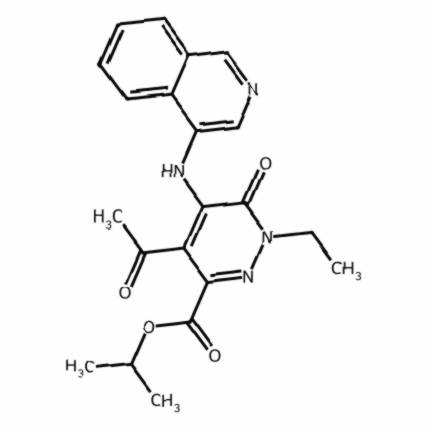 CCn1nc(C(=O)OC(C)C)c(C(C)=O)c(Nc2cncc3ccccc23)c1=O